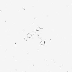 CCc1csc(C(Cc2ccc([N+](=O)[O-])cc2)NC(=O)NCc2ccccc2)n1